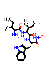 CCC(C)[C@H](N)C(=O)N[C@H](C(=O)N[C@@H](Cc1c[nH]c2ccccc12)C(=O)NO)C(C)CC